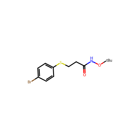 CC(C)(C)ONC(=O)CCSc1ccc(Br)cc1